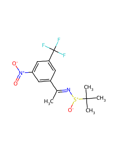 CC(=N[S+]([O-])C(C)(C)C)c1cc([N+](=O)[O-])cc(C(F)(F)F)c1